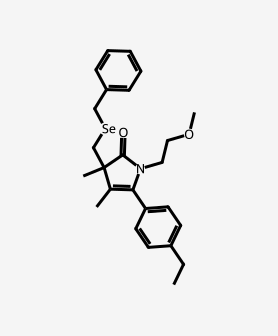 CCc1ccc(C2=C(C)C(C)(C[Se]Cc3ccccc3)C(=O)N2CCOC)cc1